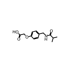 CC(C)C(=O)NCc1ccc(OCC(=O)O)cc1